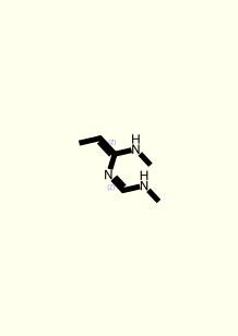 C/C=C(\N=C/NC)NC